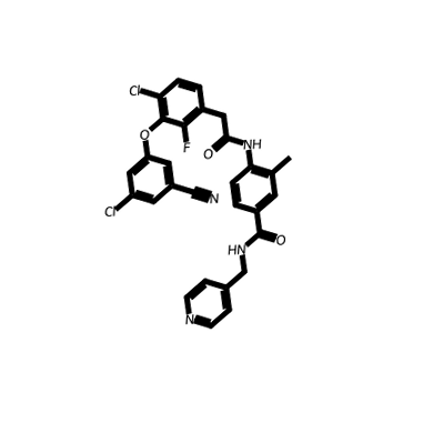 Cc1cc(C(=O)NCc2ccncc2)ccc1NC(=O)Cc1ccc(Cl)c(Oc2cc(Cl)cc(C#N)c2)c1F